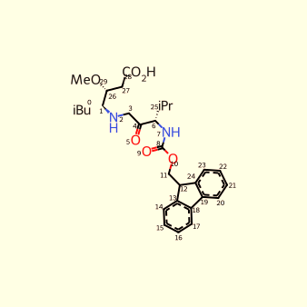 CC[C@H](C)[C@H](NCC(=O)[C@@H](NC(=O)OCC1c2ccccc2-c2ccccc21)C(C)C)[C@@H](CC(=O)O)OC